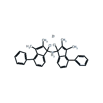 CC1=C(C)C(Cl)([SiH2]C2(Cl)C(C)=C(C)c3c(-c4ccccc4)cccc32)c2cccc(-c3ccccc3)c21.[Zr]